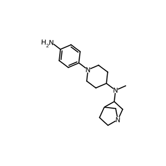 CN(C1CCN(c2ccc(N)cc2)CC1)C1CN2CCC1C2